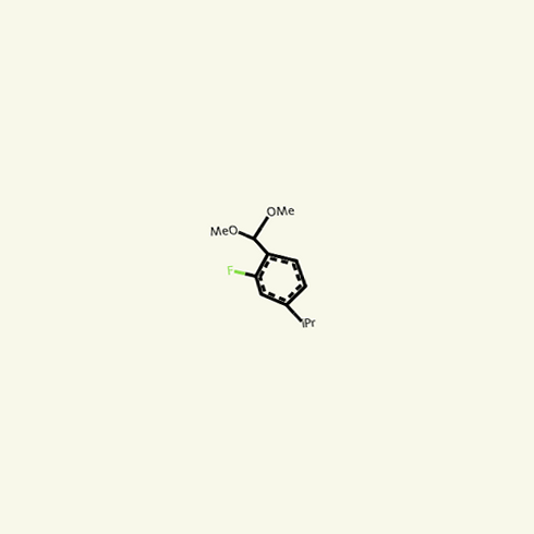 COC(OC)c1ccc(C(C)C)cc1F